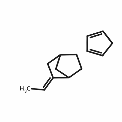 C1=CCC=C1.CC=C1CC2CCC1C2